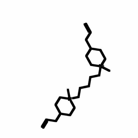 C=CCC1CC[N+](C)(CCCCC[N+]2(C)CCC(CC=C)CC2)CC1